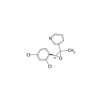 CC1(c2cccnc2)O[C@H]1c1ccc(Cl)cc1Cl